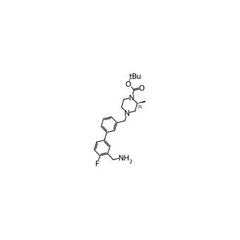 C[C@H]1CN(Cc2cccc(-c3ccc(F)c(CN)c3)c2)CCN1C(=O)OC(C)(C)C